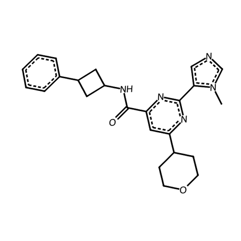 Cn1cncc1-c1nc(C(=O)NC2CC(c3ccccc3)C2)cc(C2CCOCC2)n1